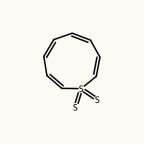 S=S1(=S)C=CC=CC=CC=C1